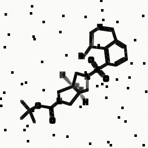 CC(C)(C)OC(=O)N1C[C@@H]2CN(S(=O)(=O)c3cccc4cncc(Br)c34)C[C@@H]2C1